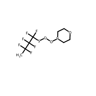 CC(F)(F)C(F)(F)C(F)(F)SOON1CCOCC1